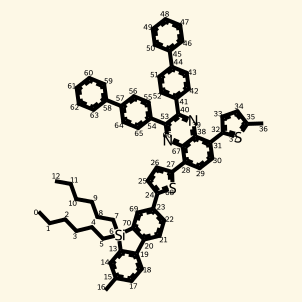 CCCCCC[Si]1(CCCCCC)c2cc(C)ccc2-c2ccc(-c3ccc(-c4ccc(-c5ccc(C)s5)c5nc(-c6ccc(-c7ccccc7)cc6)c(-c6ccc(-c7ccccc7)cc6)nc45)s3)cc21